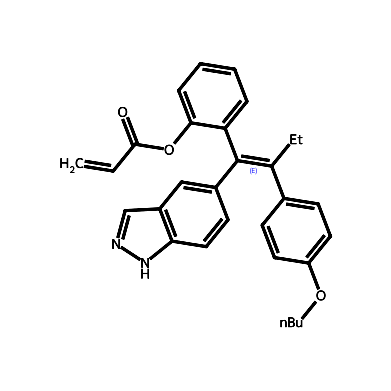 C=CC(=O)Oc1ccccc1/C(=C(\CC)c1ccc(OCCCC)cc1)c1ccc2[nH]ncc2c1